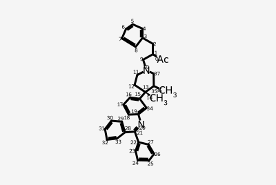 CC(=O)C(Cc1ccccc1)CN1CC[C@@](C)(c2cccc(N=C(c3ccccc3)c3ccccc3)c2)C(C)C1